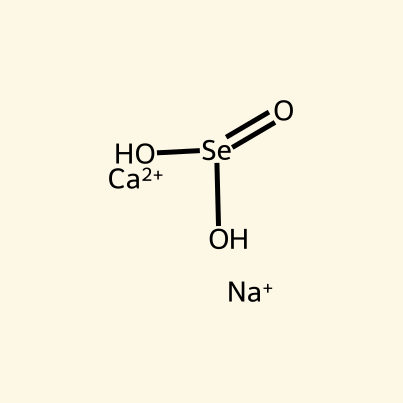 O=[Se](O)O.[Ca+2].[Na+]